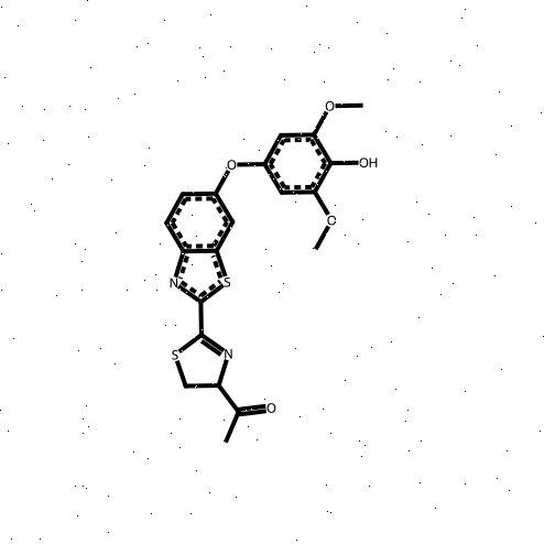 COc1cc(Oc2ccc3nc(C4=NC(C(C)=O)CS4)sc3c2)cc(OC)c1O